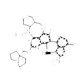 CN1c2nc(OC[C@@]34CCCN3C[C@H](F)C4)nc3c(F)c(-c4ccc(F)c5sc(N)c(C#N)c45)c(Cl)c(c23)OCC2COCCC21